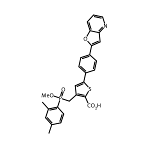 COP(=O)(Cc1cc(-c2ccc(-c3cc4ncccc4o3)cc2)sc1C(=O)O)c1ccc(C)cc1C